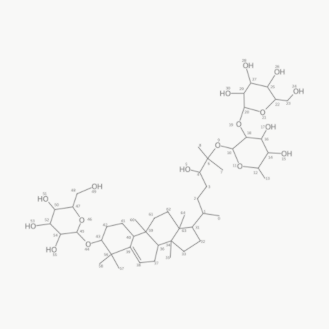 CC(CCC(O)C(C)(C)OC1OC(C)C(O)C(O)C1OC1OC(CO)C(O)C(O)C1O)C1CCC2(C)C3CC=C4C(CCC(OC5OC(CO)C(O)C(O)C5O)C4(C)C)C3(C)CCC12C